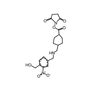 O=C(ON1C(=O)CCC1=O)C1CCC(CNCc2ccc(CO)c([N+](=O)[O-])c2)CC1